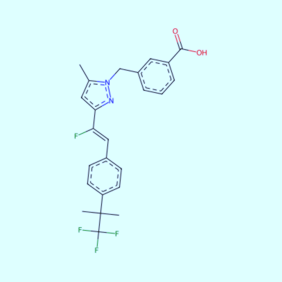 Cc1cc(/C(F)=C/c2ccc(C(C)(C)C(F)(F)F)cc2)nn1Cc1cccc(C(=O)O)c1